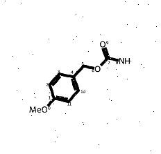 COc1ccc(COC([NH])=O)cc1